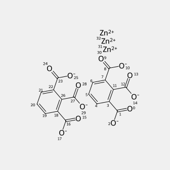 O=C([O-])c1cccc(C(=O)[O-])c1C(=O)[O-].O=C([O-])c1cccc(C(=O)[O-])c1C(=O)[O-].[Zn+2].[Zn+2].[Zn+2]